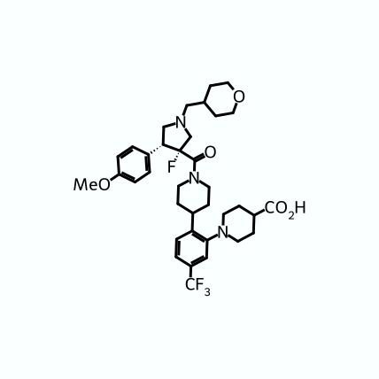 COc1ccc([C@@H]2CN(CC3CCOCC3)C[C@@]2(F)C(=O)N2CCC(c3ccc(C(F)(F)F)cc3N3CCC(C(=O)O)CC3)CC2)cc1